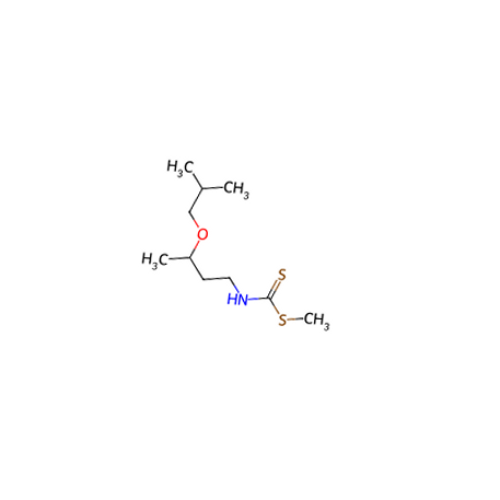 CSC(=S)NCCC(C)OCC(C)C